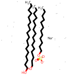 CCCCCCCCCCCCCCCCCCO.CCCCCCCCCCCCCCCCO.CCCCCCCCCCCCOS(=O)(=O)[O-].[Na+]